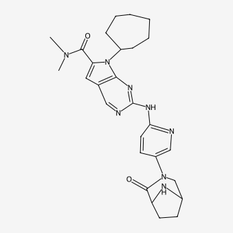 CN(C)C(=O)c1cc2cnc(Nc3ccc(N4CC5CCC(N5)C4=O)cn3)nc2n1C1CCCCCC1